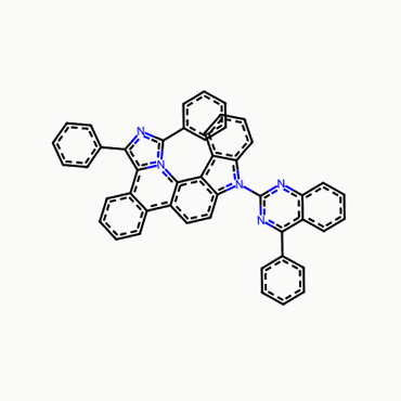 c1ccc(-c2nc(-n3c4ccccc4c4c3ccc3c5ccccc5c5c(-c6ccccc6)nc(-c6ccccc6)n5c34)nc3ccccc23)cc1